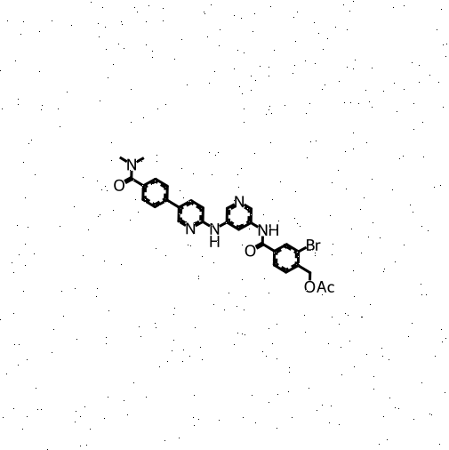 CC(=O)OCc1ccc(C(=O)Nc2cncc(Nc3ccc(-c4ccc(C(=O)N(C)C)cc4)cn3)c2)cc1Br